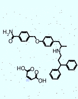 CC(Cc1ccc(OCc2ccc(C(N)=O)cc2)cc1)NCCC(c1ccccc1)c1ccccc1.O=C(O)/C=C\C(=O)O